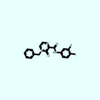 O=C(Nc1ccc(I)c(F)c1)c1nccn(Cc2ccccc2)c1=O